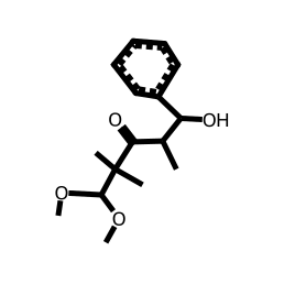 COC(OC)C(C)(C)C(=O)C(C)C(O)c1ccccc1